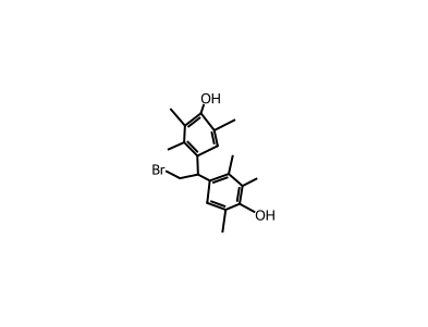 Cc1cc(C(CBr)c2cc(C)c(O)c(C)c2C)c(C)c(C)c1O